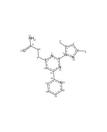 Cc1cc(C)n(-c2nc(CCC(N)=O)cc(-c3ccccn3)n2)n1